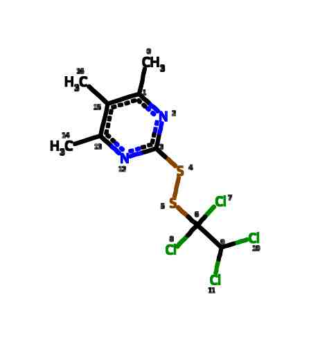 Cc1nc(SSC(Cl)(Cl)C(Cl)Cl)nc(C)c1C